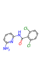 Nc1cccc(NC(=O)c2c(Cl)cccc2Cl)n1